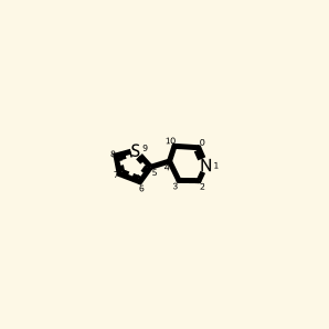 C1=NCCC(c2cccs2)C1